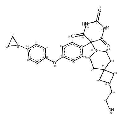 O=C1NC(=O)C(c2ccc(Oc3ccc(C4CC4)cc3)cc2)(N2CCC3(CC2)CN(CCO)C3)C(=O)N1